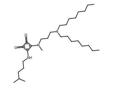 CCCCCCCCN(CCCCCCCC)CCCN(C)c1c(NCCCC(C)C)c(=O)c1=O